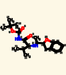 CC(N[C@H](C(=O)NC(=O)OC(C)(C)C)C(C)C)C1Cc2ccccc2O1